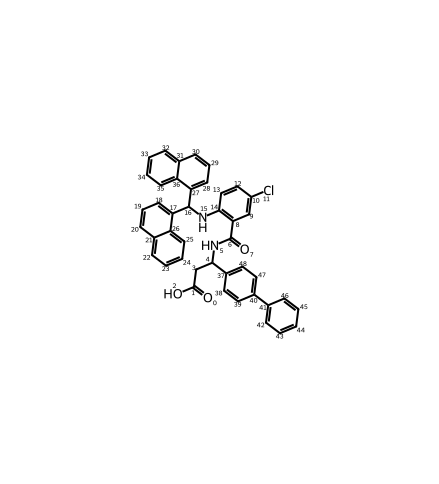 O=C(O)CC(NC(=O)c1cc(Cl)ccc1NC(c1cccc2ccccc12)c1cccc2ccccc12)c1ccc(-c2ccccc2)cc1